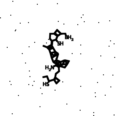 BCC1CC2=C1C(S)/C(=C1/C(C)C34CC13C13C45C14C51C56C78CC9%10CC9(/C%10=C(\CN)CCC9=C(C(S)CC)CC9)C79C85C96C341)CC2